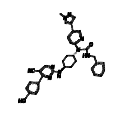 Cn1cc(-c2ccc(N(C(=O)NCc3ccccc3)[C@H]3CC[C@H](Nc4ncc(C#N)c(-c5ccc(O)cc5)n4)CC3)nc2)cn1